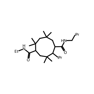 CCNC(=O)C1CC(C)(C)C(C(C)C)C(C(=O)NCC(C)C)CC(C)(C)CC1(C)C